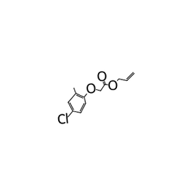 C=CCOC(=O)COc1ccc(Cl)cc1C